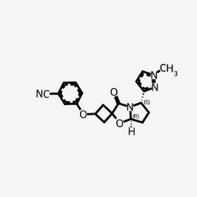 Cn1ccc([C@@H]2CC[C@H]3OC4(CC(Oc5cccc(C#N)c5)C4)C(=O)N32)n1